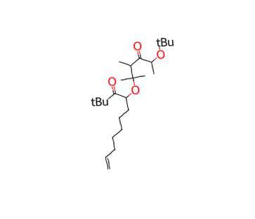 C=CCCCCCC(OC(C)(C)C(C)C(=O)C(C)OC(C)(C)C)C(=O)C(C)(C)C